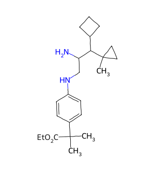 CCOC(=O)C(C)(C)c1ccc(NCC(N)C(C2CCC2)C2(C)CC2)cc1